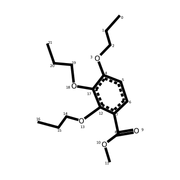 CCCOc1ccc(C(=O)OC)c(OCCC)c1OCCC